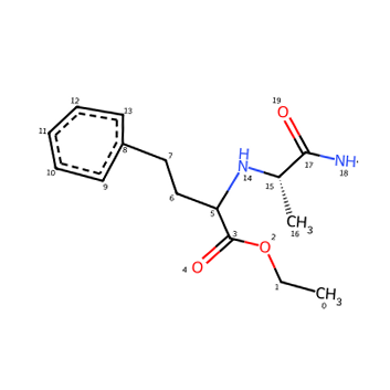 CCOC(=O)C(CCc1ccccc1)N[C@@H](C)C([NH])=O